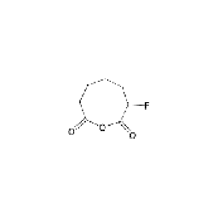 O=C1CCCCC(F)C(=O)O1